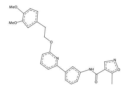 COc1ccc(CCOc2cccc(-c3cccc(NC(=O)c4cnoc4C)c3)n2)cc1OC